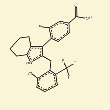 O=C(O)c1ccc(-c2c(Cc3c(Cl)cccc3C(F)(F)F)[nH]c3c2CCCC3)c(F)c1